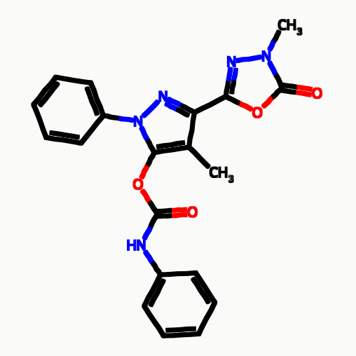 Cc1c(-c2nn(C)c(=O)o2)nn(-c2ccccc2)c1OC(=O)Nc1ccccc1